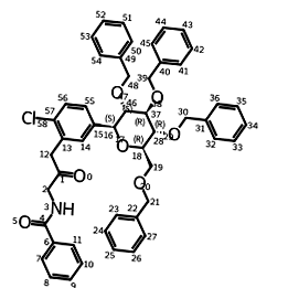 O=C(CNC(=O)c1ccccc1)Cc1cc([C@@H]2O[C@H](COCc3ccccc3)[C@@H](OCc3ccccc3)[C@H](OCc3ccccc3)[C@H]2OCc2ccccc2)ccc1Cl